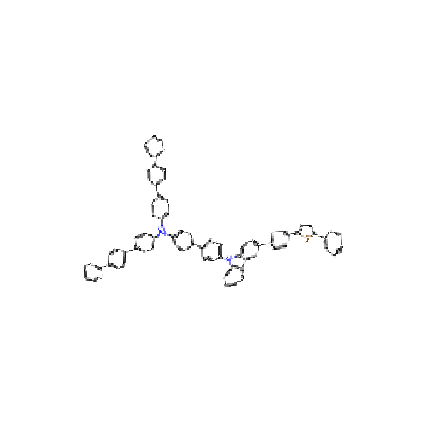 c1ccc(-c2ccc(-c3ccc(N(c4ccc(-c5ccc(-c6ccccc6)cc5)cc4)c4ccc(-c5ccc(-n6c7ccccc7c7cc(-c8ccc(-c9ccc(-c%10ccccc%10)s9)cc8)ccc76)cc5)cc4)cc3)cc2)cc1